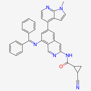 Cn1ccc2c(-c3cc(N=C(c4ccccc4)c4ccccc4)c4cnc(NC(=O)C5CC5C#N)cc4c3)ccnc21